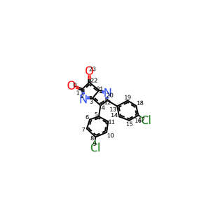 O=c1nc2c(-c3ccc(Cl)cc3)c(-c3ccc(Cl)cc3)nc-2c1=O